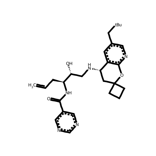 C=CC[C@H](NC(=O)c1cncnc1)[C@H](O)CN[C@H]1CC2(CCC2)Oc2ncc(CC(C)(C)C)cc21